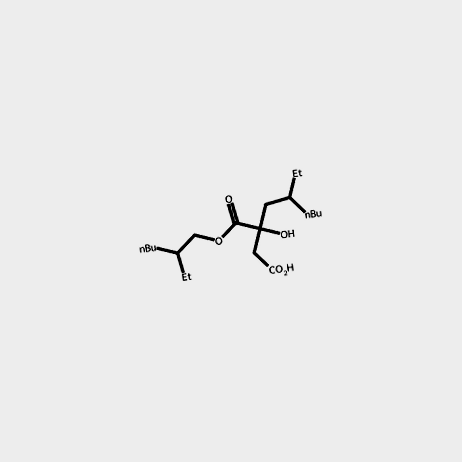 CCCCC(CC)COC(=O)C(O)(CC(=O)O)CC(CC)CCCC